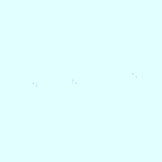 CN1CCCN(C2CCCNCC2)CC1